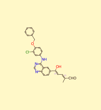 C/C(C=O)=C\C=C(/O)c1ccc2ncnc(Nc3ccc(OCc4ccccc4)c(Cl)c3)c2c1